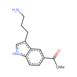 COC(=O)c1ccc2[nH]cc(CCCN)c2c1